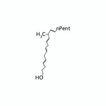 CCCCCC=CC(C)C=CCC=CCC=CCCCO